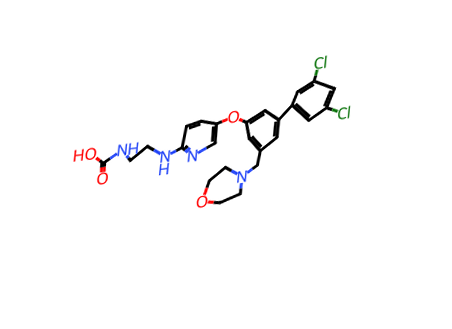 O=C(O)NCCNc1ccc(Oc2cc(CN3CCOCC3)cc(-c3cc(Cl)cc(Cl)c3)c2)cn1